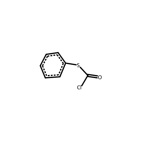 O=C(Cl)Sc1ccccc1